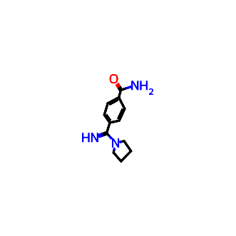 N=C(c1ccc(C(N)=O)cc1)N1CCCC1